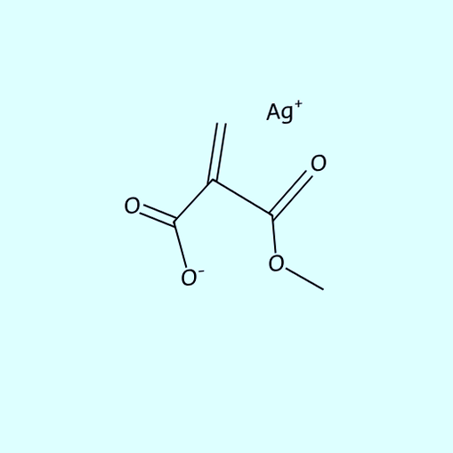 C=C(C(=O)[O-])C(=O)OC.[Ag+]